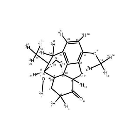 [2H]O[C@@]12CC([2H])([2H])C(=O)C3([2H])Oc4c(OC([2H])([2H])[2H])c([2H])c([2H])c5c4[C@@]31CCN(C([2H])([2H])[2H])[C@@H]2C5([2H])[2H]